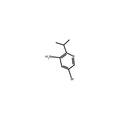 CC(C)c1ncc(Br)cc1N